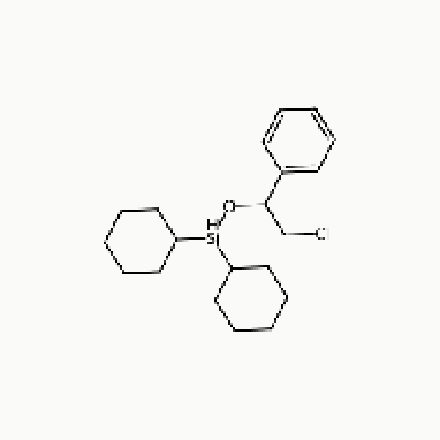 ClCC(O[SiH](C1CCCCC1)C1CCCCC1)c1ccccc1